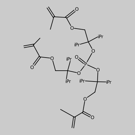 C=C(C)C(=O)OCC(OP(=O)(OC(COC(=O)C(=C)C)(C(C)C)C(C)C)OC(COC(=O)C(=C)C)(C(C)C)C(C)C)(C(C)C)C(C)C